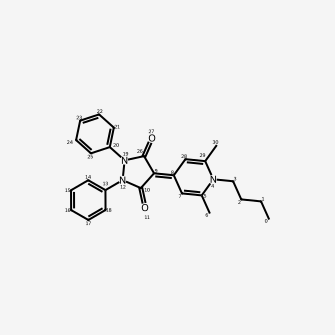 CCCCN1C(C)=CC(=C2C(=O)N(c3ccccc3)N(c3ccccc3)C2=O)C=C1C